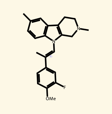 COc1ccc(/C(C)=C/n2c3c(c4cc(C)ccc42)CCN(C)C3)cc1F